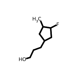 CC1CC(CCCO)CC1F